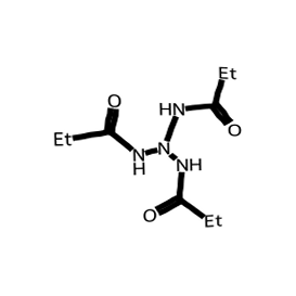 CCC(=O)NN(NC(=O)CC)NC(=O)CC